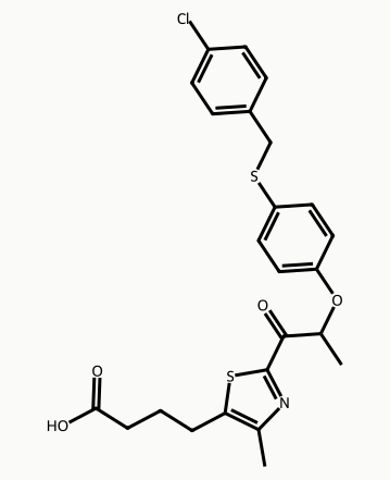 Cc1nc(C(=O)C(C)Oc2ccc(SCc3ccc(Cl)cc3)cc2)sc1CCCC(=O)O